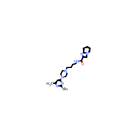 Cc1cc(N2CCN(CCCCNC(=O)c3cn4ccccc4n3)CC2)nc(C(C)(C)C)n1